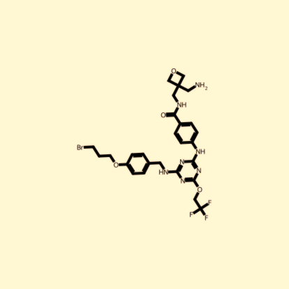 NCC1(CNC(=O)c2ccc(Nc3nc(NCc4ccc(OCCCBr)cc4)nc(OCC(F)(F)F)n3)cc2)COC1